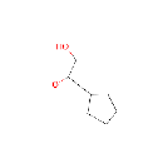 [O]C(CO)C1CCCC1